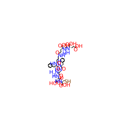 N[C@@H](CNC(=O)[C@H](Cc1ccccc1)NC(=O)C(Cc1ccccc1)NC(=O)CCCNC(=O)CC[C@H](NC(=S)N[C@@H](CCC(=O)O)C(=O)O)C(=O)O)C(=O)N[C@@H](CC(=O)O)C(=O)N[C@@H](CS)C(=O)O